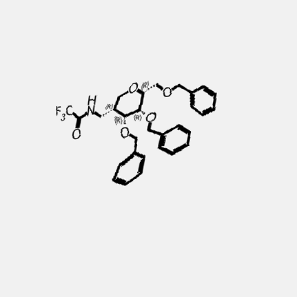 O=C(NC[C@@H]1CO[C@H](COCc2ccccc2)[C@H](OCc2ccccc2)[C@@H]1OCc1ccccc1)C(F)(F)F